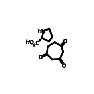 O=C(O)[C@@H]1CCCN1.O=C1CCC(=O)CC(=O)C1